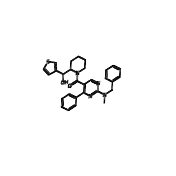 CN(Cc1ccccc1)c1ncc(C(=O)N2CCCCC2C(O)c2ccsc2)c(-c2ccccc2)n1